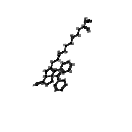 C=C(c1ccccc1)C12CCC(=O)C1CC(CCOCCCOCCC(=O)OC)=C2c1ccccc1